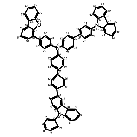 c1ccc(-n2c3ccccc3c3cc(-c4ccc(-c5ccc(N(c6ccc(-c7ccc(-n8c9ccccc9c9ccccc98)cc7)cc6)c6ccc(-c7cccc8c7oc7ccccc78)cc6)cc5)cc4)ccc32)cc1